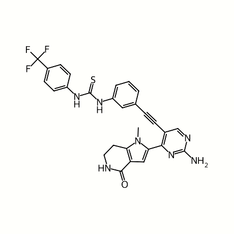 Cn1c(-c2nc(N)ncc2C#Cc2cccc(NC(=S)Nc3ccc(C(F)(F)F)cc3)c2)cc2c1CCNC2=O